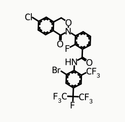 O=C(Nc1c(Br)cc(C(F)(C(F)(F)F)C(F)(F)F)cc1C(F)(F)F)c1cccc(N2OCc3cc(Cl)ccc3C2=O)c1F